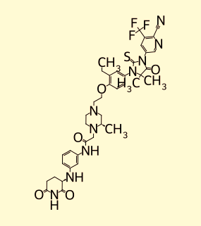 CCc1cc(N2C(=S)N(c3cnc(C#N)c(C(F)(F)F)c3)C(=O)C2(C)C)ccc1OCCN1CCN(CC(=O)Nc2cccc(N[C@@H]3CCC(=O)NC3=O)c2)[C@H](C)C1